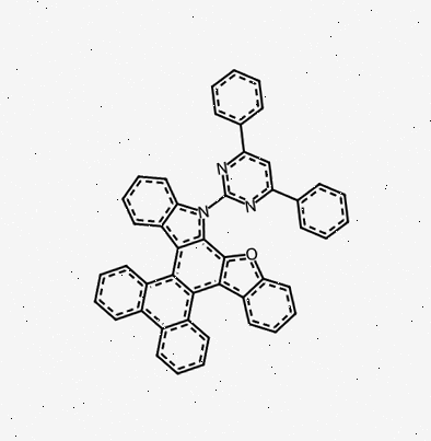 c1ccc(-c2cc(-c3ccccc3)nc(-n3c4ccccc4c4c5c6ccccc6c6ccccc6c5c5c6ccccc6oc5c43)n2)cc1